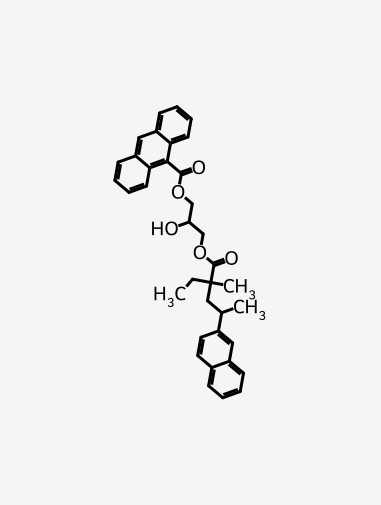 CCC(C)(CC(C)c1ccc2ccccc2c1)C(=O)OCC(O)COC(=O)c1c2ccccc2cc2ccccc12